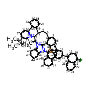 C=C1C2C(CCc3ccc4c(sc5ccc(-c6ccc(F)c7ccccc67)cc54)c3-c3n(-c4cccc5ccccc45)c4ccccc4[n+]31)c1ccccc1-c1ccc([Si](C)(C)C)c[n+]12